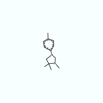 Cc1ccc(N2CN(C)C(C)(C)C2)cc1